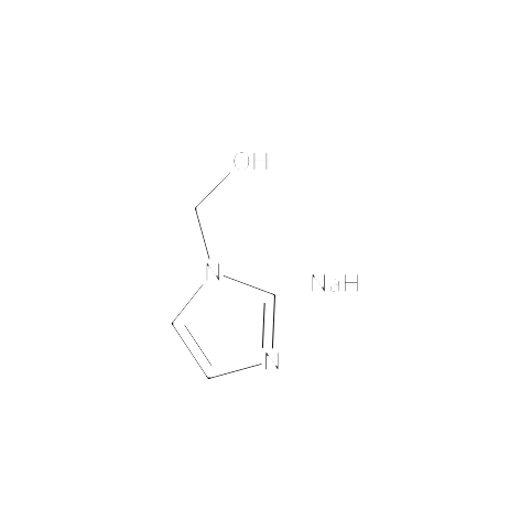 OCn1ccnc1.[NaH]